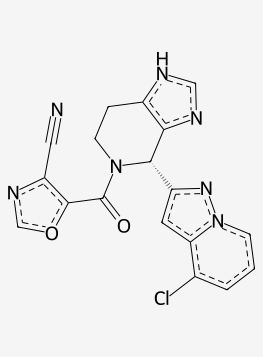 N#Cc1ncoc1C(=O)N1CCc2[nH]cnc2[C@@H]1c1cc2c(Cl)cccn2n1